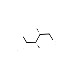 C[C@H](O)[C@H](O)[C@@H](O)[C@H](C)O